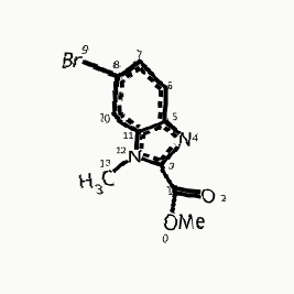 COC(=O)c1nc2ccc(Br)cc2n1C